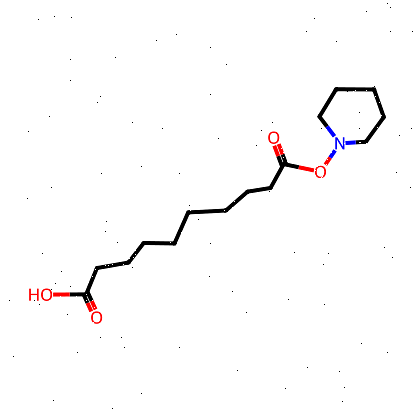 O=C(O)CCCCCCCCC(=O)ON1CCCCC1